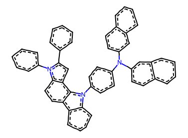 c1ccc(-c2cc3c(ccc4c5ccccc5n(-c5ccc(N(c6ccc7ccccc7c6)c6ccc7ccccc7c6)cc5)c43)n2-c2ccccc2)cc1